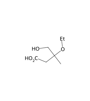 CCOC(C)(CO)CC(=O)O